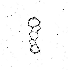 C1=C2CC3=C(Cc4ccccc43)CC2c2ccccc21